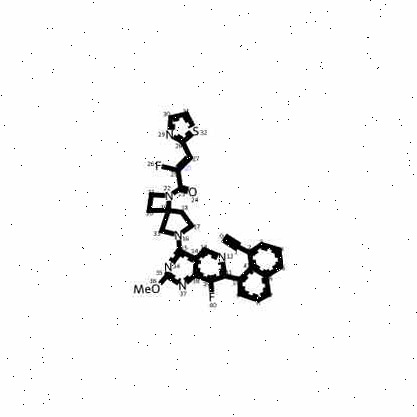 C#Cc1cccc2cccc(-c3ncc4c(N5CCC6(CCN6C(=O)/C(F)=C/c6nccs6)C5)nc(OC)nc4c3F)c12